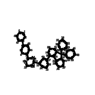 c1ccc(-c2ccc(-c3ncnc(-c4cccc(-c5cccc6c5-c5ccccc5C6(c5ccccc5)c5ccccc5)c4)n3)cc2)cc1